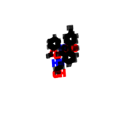 COc1ccccc1NC(=O)c1c(NCCO)cccc1S(=O)(=O)c1ccc(C)cc1